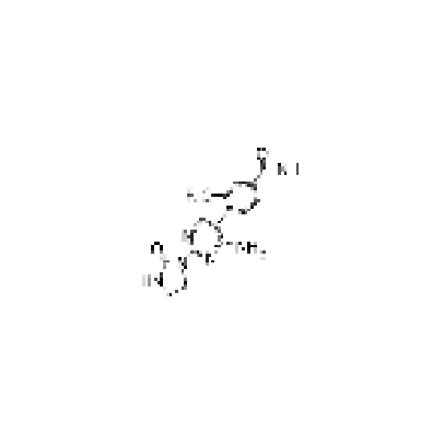 [NH]C(=O)c1ccc(-c2cnc(N3CCNC3=O)nc2N)c(C(F)(F)F)c1